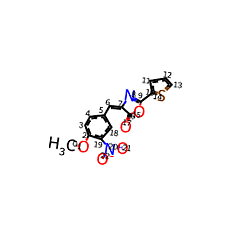 COc1ccc(/C=C2/N=C(c3cccs3)OC2=O)cc1[N+](=O)[O-]